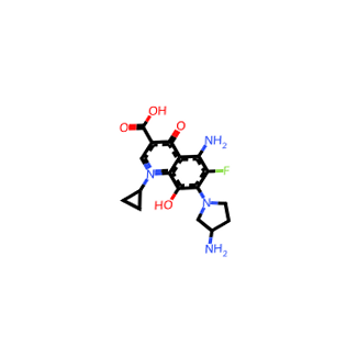 Nc1c(F)c(N2CCC(N)C2)c(O)c2c1c(=O)c(C(=O)O)cn2C1CC1